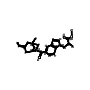 C/C=C1/CC2CC(C)(C1)CN2C(=O)c1ccc2c(ccn2CC(C)C(=O)OC)c1